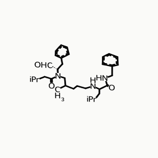 CC(C)CC(=O)N(CC(C)CCCNC(CC(C)C)C(=O)NCc1ccccc1)[C@H](C=O)Cc1ccccc1